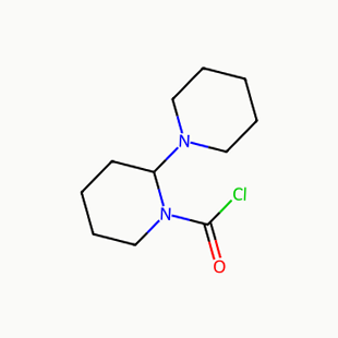 O=C(Cl)N1CCCCC1N1CCCCC1